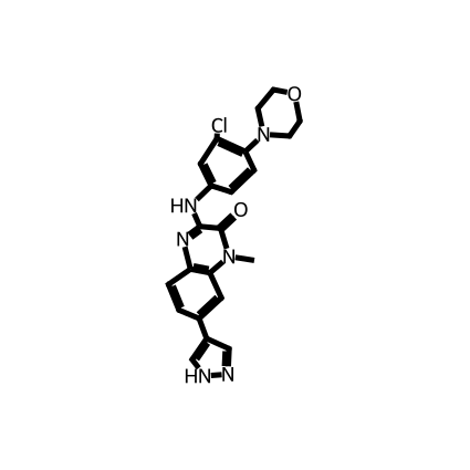 Cn1c(=O)c(Nc2ccc(N3CCOCC3)c(Cl)c2)nc2ccc(-c3cn[nH]c3)cc21